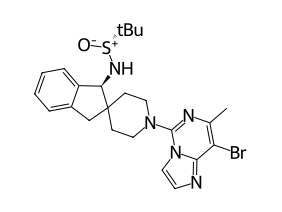 Cc1nc(N2CCC3(CC2)Cc2ccccc2[C@H]3N[S@+]([O-])C(C)(C)C)n2ccnc2c1Br